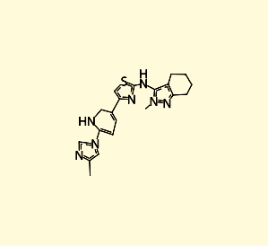 Cc1cn(C2=CC=C(c3csc(Nc4c5c(nn4C)CCCC5)n3)CN2)cn1